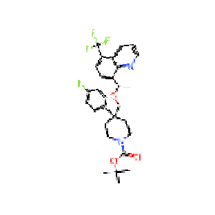 CC(OCC1(c2ccc(F)cc2)CCN(C(=O)OC(C)(C)C)CC1)c1ccc(C(F)(F)F)c2cccnc12